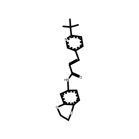 CC(C)(C)c1ccc(/C=C/C(=O)Nc2ccc3c(c2)OCCO3)cn1